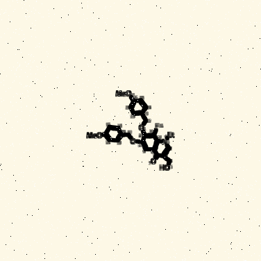 CCn1cc(CO)c(=O)c2cc(OCc3ccc(OC)cc3)c(OCc3ccc(OC)cc3)c(F)c21